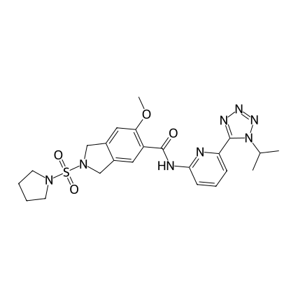 COc1cc2c(cc1C(=O)Nc1cccc(-c3nnnn3C(C)C)n1)CN(S(=O)(=O)N1CCCC1)C2